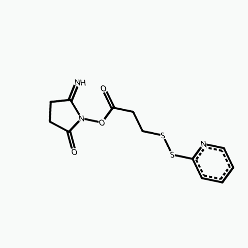 N=C1CCC(=O)N1OC(=O)CCSSc1ccccn1